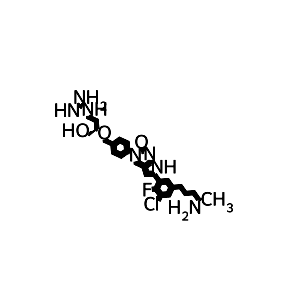 C[C@H](N)CCCc1cc(Cl)c(F)c(-c2cc3cn(-c4ccc(CO[C@@H](CO)CCNC(=N)N)cc4)c(=O)nc3[nH]2)c1